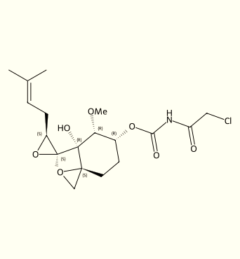 CO[C@@H]1[C@H](OC(=O)NC(=O)CCl)CC[C@]2(CO2)[C@@]1(O)[C@@]1(C)O[C@H]1CC=C(C)C